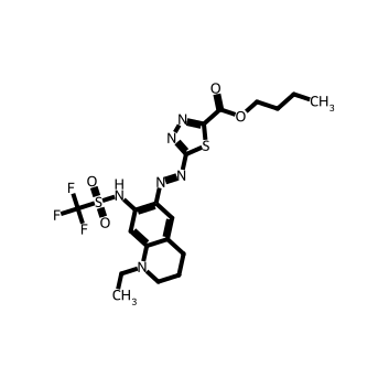 CCCCOC(=O)c1nnc(N=Nc2cc3c(cc2NS(=O)(=O)C(F)(F)F)N(CC)CCC3)s1